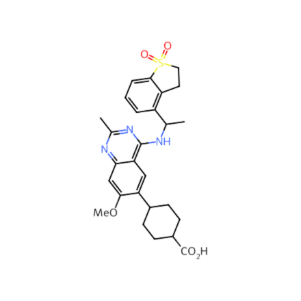 COc1cc2nc(C)nc(NC(C)c3cccc4c3CCS4(=O)=O)c2cc1C1CCC(C(=O)O)CC1